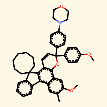 COc1ccc(C2(c3ccc(N4CCOCC4)cc3)C=Cc3c4c(c5cc(C)c(OC)cc5c3O2)-c2ccccc2C42CCCCCCC2)cc1